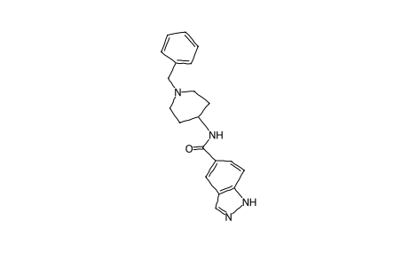 O=C(NC1CCN(Cc2ccccc2)CC1)c1ccc2[nH]ncc2c1